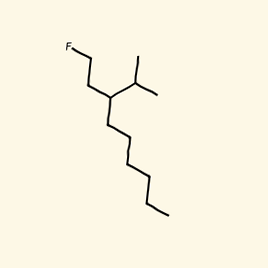 CCCCCCC(CCF)C(C)C